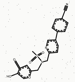 CS(=O)(=O)N(Cc1ccc(-c2ccc(C#N)cc2)cn1)Cc1cc(=O)c(O)co1